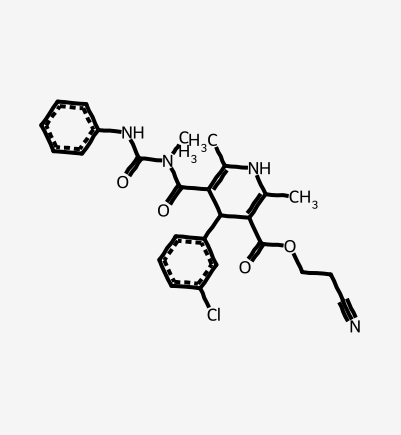 CC1=C(C(=O)OCCC#N)C(c2cccc(Cl)c2)C(C(=O)N(C)C(=O)Nc2ccccc2)=C(C)N1